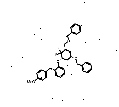 COc1ccc(Cc2ccccc2O[C@H]2C[C@@H](OCc3ccccc3)C[C@@H](COCc3ccccc3)C2(F)F)cc1